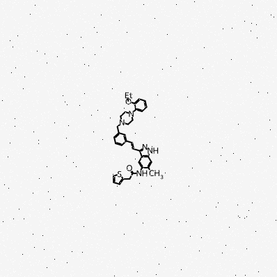 CCOc1ccccc1N1CCN(Cc2cccc(C=Cc3n[nH]c4cc(C)c(NC(=O)Cc5cccs5)cc34)c2)CC1